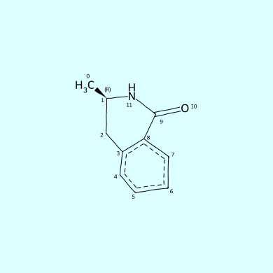 C[C@@H]1Cc2ccccc2C(=O)N1